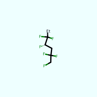 [CH2]CC(F)(F)[C@@H](F)CC(F)(F)CF